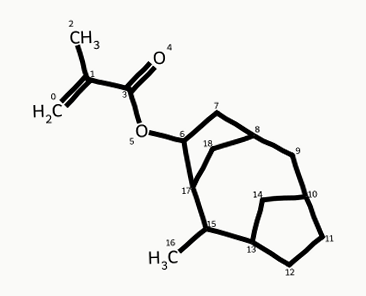 C=C(C)C(=O)OC1CC2CC3CCC(C3)C(C)C1C2